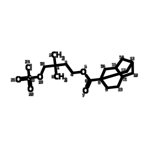 CC(C)(CCOC(=O)C12CCC3CC(CC3C1)C2)COS(=O)(=O)Cl